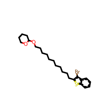 Brc1c(CCCCCCCCCCCOC2CCCCO2)sc2ccccc12